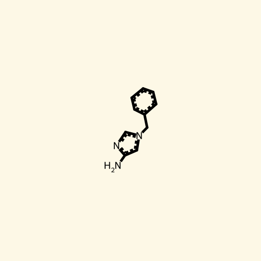 Nc1cn(Cc2ccccc2)cn1